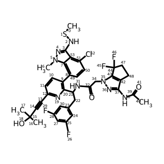 CSNc1nn(C)c2c(-c3ccc(C#CC(C)(C)O)nc3C(Cc3cc(F)cc(F)c3)NC(=O)Cn3nc(NC(C)=O)c4c3C(F)(F)CC4)ccc(Cl)c12